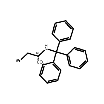 CC(C)C[C@H](NC(c1ccccc1)(c1ccccc1)c1ccccc1)C(=O)O